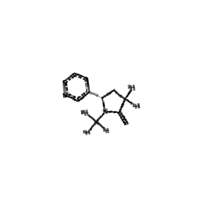 [2H]C1([2H])C[C@@H](c2cccnc2)N(C([2H])([2H])[2H])C1=C